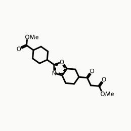 COC(=O)CC(=O)C1CCc2nc(C3CCC(C(=O)OC)CC3)oc2C1